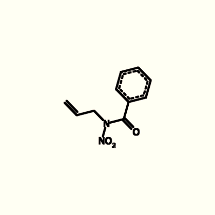 C=CCN(C(=O)c1ccccc1)[N+](=O)[O-]